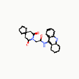 O=C(CN1C(=O)CC2(CCCC2)CC1=O)Nc1c2c(nc3ccccc13)CCCC2